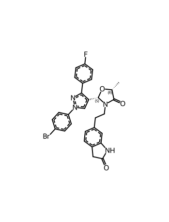 C[C@H]1O[C@@H](c2cn(-c3ccc(Br)cc3)nc2-c2ccc(F)cc2)N(CCc2ccc3c(c2)NC(=O)C3)C1=O